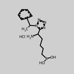 C[C@@H](c1ccccc1)n1nnnc1C(N)CCCCB(O)O.Cl